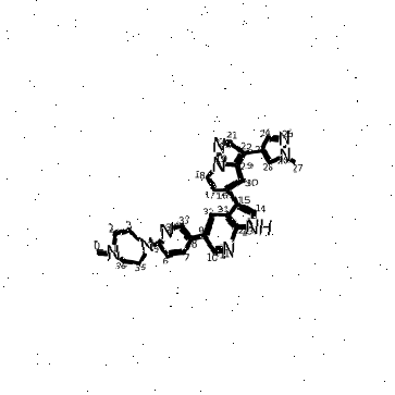 CN1CCN(c2ccc(-c3cnc4[nH]cc(-c5ccn6ncc(-c7cnn(C)c7)c6c5)c4c3)cn2)CC1